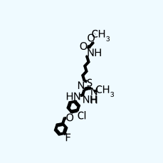 CNc1sc(CCCCCNC(=O)COC)nc1C(=N)Nc1ccc(OCc2cccc(F)c2)c(Cl)c1